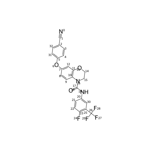 N#Cc1ccc(Oc2ccc3c(c2)OCCN3C(=O)Nc2ccc(F)c(C(F)(F)F)c2)cc1